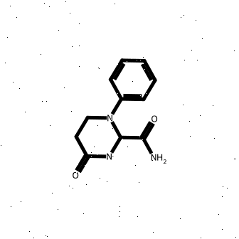 NC(=O)C1[N]C(=O)CCN1c1ccccc1